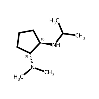 CC(C)N[C@@H]1CCC[C@H]1N(C)C